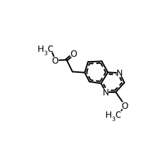 COC(=O)Cc1ccc2ncc(OC)nc2c1